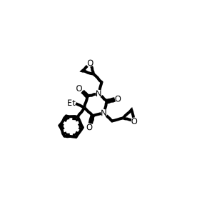 CCC1(c2ccccc2)C(=O)N(CC2CO2)C(=O)N(CC2CO2)C1=O